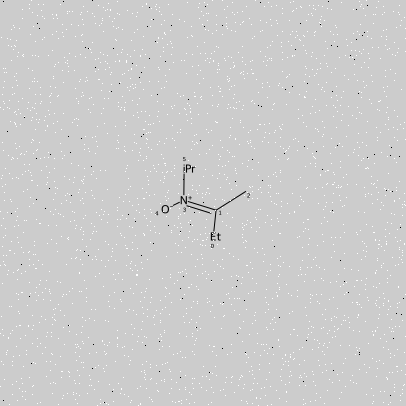 CCC(C)=[N+]([O-])C(C)C